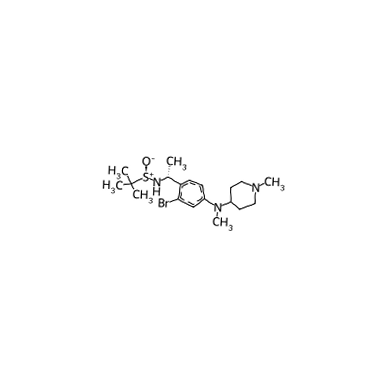 C[C@@H](N[S@+]([O-])C(C)(C)C)c1ccc(N(C)C2CCN(C)CC2)cc1Br